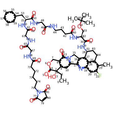 CC[C@@]1(O)C(=O)OCc2c1cc1n(c2=O)Cc2c-1nc1cc(F)c(C)c3c1c2[C@@H](NC(=O)[C@H](COC(C)(C)C)NC(=O)CCCNC(=O)CNC(=O)[C@H](Cc1ccccc1)NC(=O)CNC(=O)CNC(=O)CCCCCN1C(=O)C=CC1=O)CC3